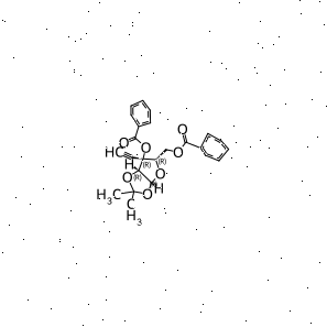 C#C[C@@]1(OC(=O)c2ccccc2)[C@@H](COC(=O)c2ccccc2)O[C@@H]2OC(C)(C)O[C@@H]21